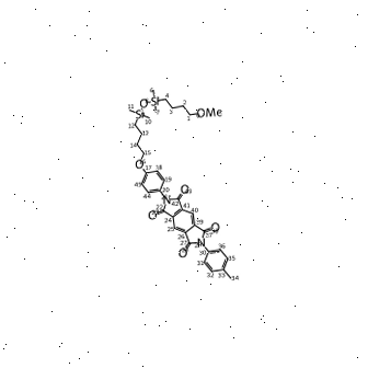 COCCCC[Si](C)(C)O[Si](C)(C)CCCCOc1ccc(-n2c(=O)c3cc4c(=O)n(-c5ccc(C)cc5)c(=O)c4cc3c2=O)cc1